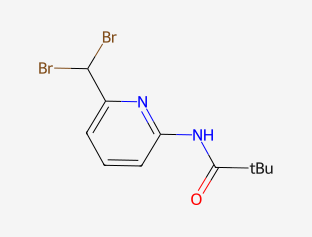 CC(C)(C)C(=O)Nc1cccc(C(Br)Br)n1